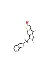 CC1=Cc2c(C)c3c(cc2=C1[Si](C)(C)C1=Cc2ccccc2C1)SC(Br)C=3